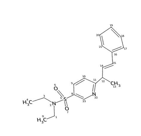 CCN(CC)S(=O)(=O)c1ccc(C(C)C=Cc2ccccc2)nc1